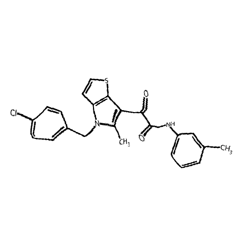 Cc1cccc(NC(=O)C(=O)c2c(C)n(Cc3ccc(Cl)cc3)c3ccsc23)c1